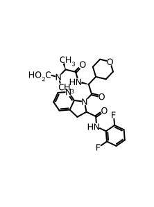 C[C@@H](C(=O)N[C@H](C(=O)N1c2ncccc2CC1C(=O)Nc1c(F)cccc1F)C1CCOCC1)N(C)C(=O)O